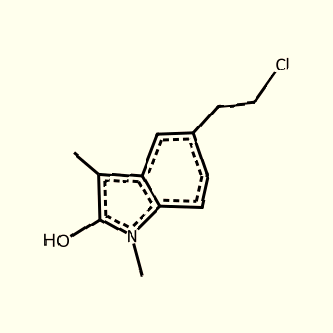 Cc1c(O)n(C)c2ccc(CCCl)cc12